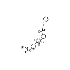 CC(C)OC(=O)Oc1ccc(C(=O)NS(=O)(=O)c2cccc(C(=O)NCCCc3ccccc3)c2)cn1